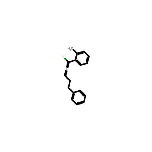 Cc1ccccc1C(F)=C=CCCc1ccccc1